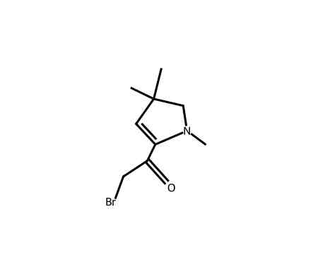 CN1CC(C)(C)C=C1C(=O)CBr